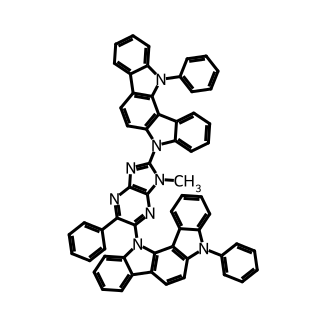 Cn1c(-n2c3ccccc3c3c2ccc2c4ccccc4n(-c4ccccc4)c23)nc2nc(-c3ccccc3)c(-n3c4ccccc4c4ccc5c(c6ccccc6n5-c5ccccc5)c43)nc21